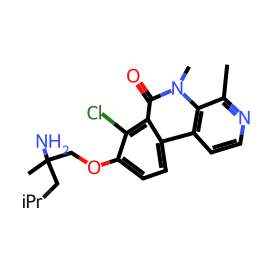 Cc1nccc2c3ccc(OCC(C)(N)CC(C)C)c(Cl)c3c(=O)n(C)c12